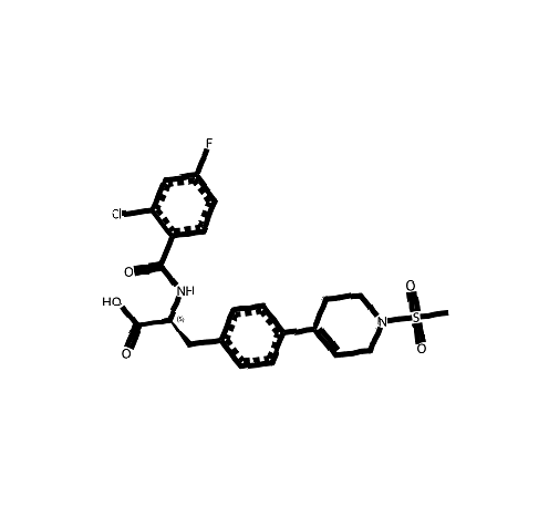 CS(=O)(=O)N1CC=C(c2ccc(C[C@H](NC(=O)c3ccc(F)cc3Cl)C(=O)O)cc2)CC1